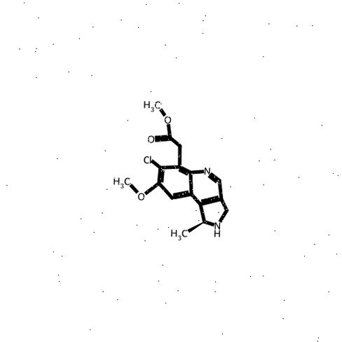 COC(=O)Cc1c(Cl)c(OC)cc2c3c(cnc12)CN[C@H]3C